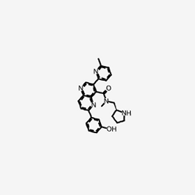 Cc1cccc(-c2cnc3ccc(-c4cccc(O)c4)nc3c2C(=O)N(C)C[C@@H]2CCCN2)n1